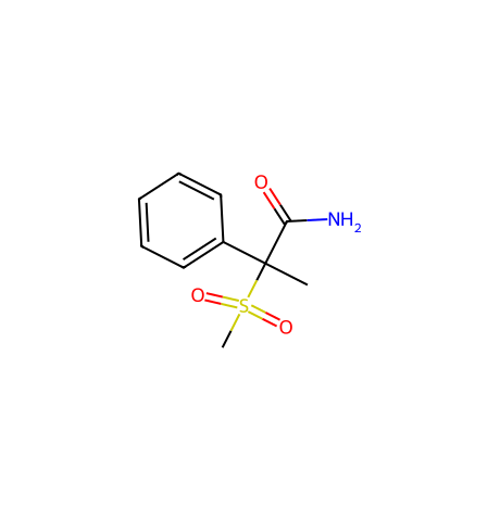 CC(C(N)=O)(c1ccccc1)S(C)(=O)=O